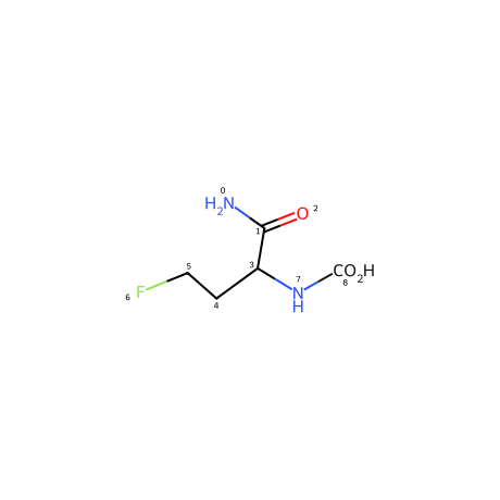 NC(=O)C(CCF)NC(=O)O